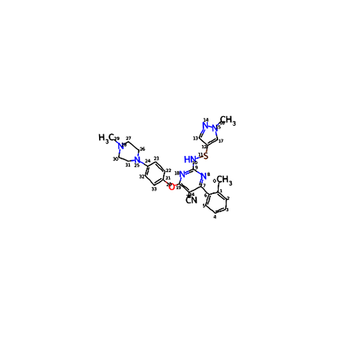 Cc1ccccc1-c1nc(NSc2cnn(C)c2)nc(Oc2ccc(N3CCN(C)CC3)cc2)c1C#N